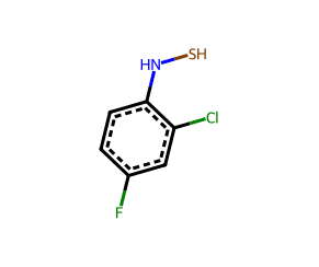 Fc1ccc(NS)c(Cl)c1